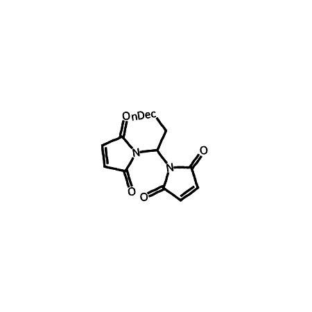 CCCCCCCCCCCC(N1C(=O)C=CC1=O)N1C(=O)C=CC1=O